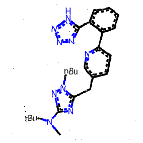 CCCCn1nc(N(C)C(C)(C)C)nc1Cc1ccc(-c2ccccc2-c2nnn[nH]2)nc1